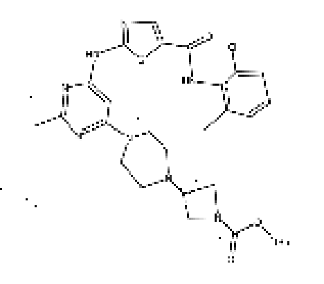 Cc1nc(Nc2ncc(C(=O)Nc3c(C)cccc3Cl)s2)cc(N2CCN(C3CN(C(=O)OC(C)(C)C)C3)CC2)n1